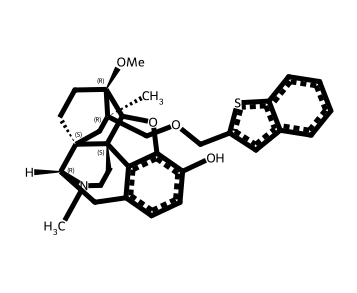 CO[C@]12CC[C@@]3(C[C@]1(C)COCc1cc4ccccc4s1)[C@H]1Cc4ccc(O)c5c4[C@@]3(CCN1C)C2O5